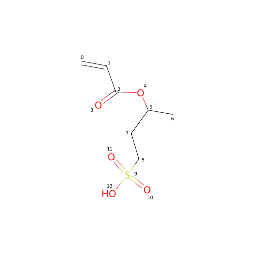 C=CC(=O)OC(C)CCS(=O)(=O)O